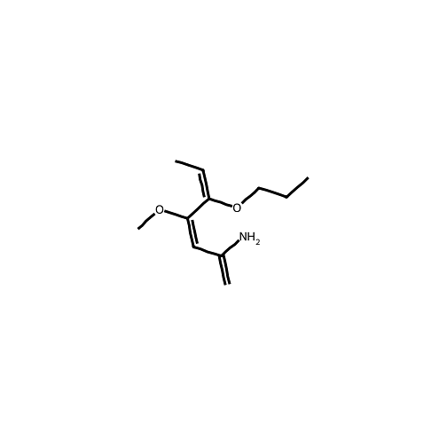 C=C(N)/C=C(OC)\C(=C/C)OCCC